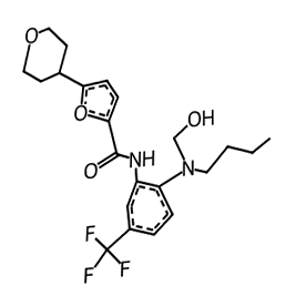 CCCCN(CO)c1ccc(C(F)(F)F)cc1NC(=O)c1ccc(C2CCOCC2)o1